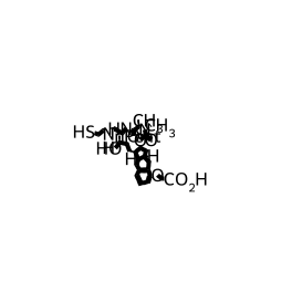 CCCCC[C@H](O)CC[C@@H]1[C@H]2Cc3cccc(OCC(=O)O)c3C[C@H]2C[C@H]1OC(=O)N(C)[C@H](C)C(=O)NCCNCCS